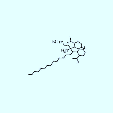 Br.CCCCCCCCCCCCCCC(C1CC(C)CCC1C(C)C)C(N)(CCBr)C1CC(C)CCC1C(C)C